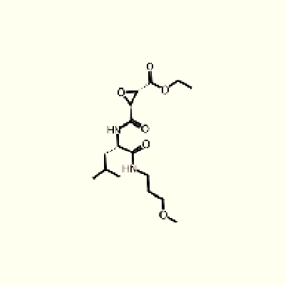 CCOC(=O)[C@H]1O[C@@H]1C(=O)N[C@@H](CC(C)C)C(=O)NCCCOC